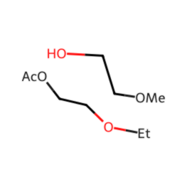 CCOCCOC(C)=O.COCCO